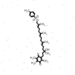 CC1=C(C)C(=O)C(CCC(C)(O)CC/C=C(\C)CC/C=C(\C)CC/C=C(\C)COS(=O)(=O)c2ccc(C)cc2)=C(C)C1=O